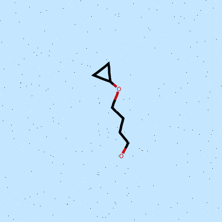 [O]CCCCOC1CC1